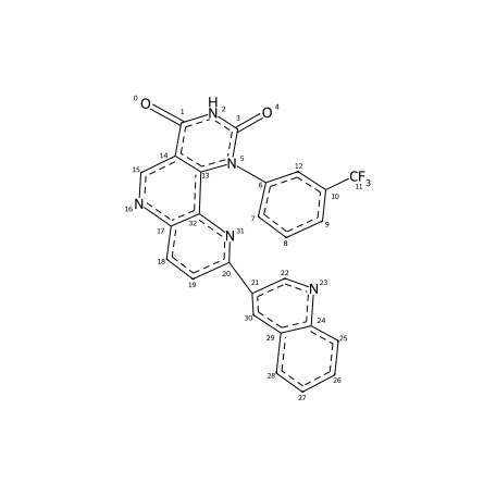 O=c1[nH]c(=O)n(-c2cccc(C(F)(F)F)c2)c2c1cnc1ccc(-c3cnc4ccccc4c3)nc12